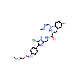 C=N/N=C\N(N)c1ccc(Cl)cc1CCC(=O)NCc1nc(-c2ccc(NOCOC)cc2)c(Cl)[nH]1